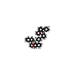 c1ccc(-c2c(-c3ccc(N(c4ccc5ccccc5c4-c4ccccc4)c4cccc5ccccc45)cc3)cccc2-n2c3ccccc3c3ccccc32)cc1